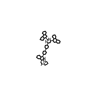 CC1=Cc2c(nc(-c3ccc(-c4ccc(-c5cc(-c6cc7ccccc7c7ccccc67)nc(-c6cc7ccccc7c7ccccc67)n5)cc4)cc3)c3ccccc23)N2C=CC=CC12